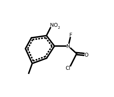 Cc1ccc([N+](=O)[O-])c(N(F)C(=O)Cl)c1